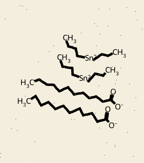 CCCCCCCCCCCC(=O)[O-].CCCCCCCCCCCC(=O)[O-].CCC[CH2][Sn+2][CH2]CCC.CCC[CH2][Sn+2][CH2]CCC